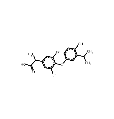 CC(C)c1cc(Oc2c(Br)cc(C(C)C(=O)O)cc2Br)ccc1O